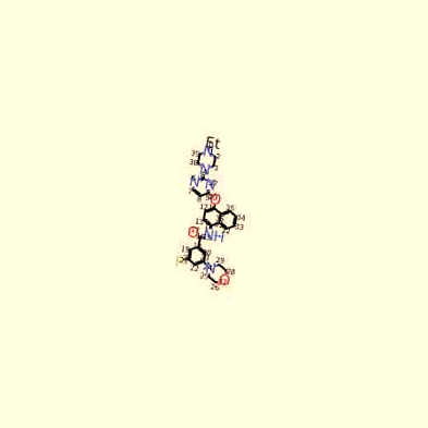 CCN1CCN(c2nccc(Oc3ccc(NC(=O)c4cc(F)cc(N5CCOCC5)c4)c4ccccc34)n2)CC1